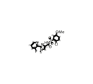 COc1ccc(Cl)c(S(=O)(=O)NC(=O)c2cn(C)c(-c3ncccc3F)n2)c1